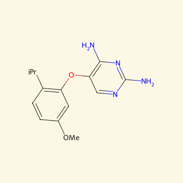 COc1ccc(C(C)C)c(Oc2cnc(N)nc2N)c1